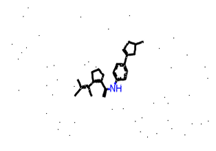 C=C(Nc1ccc(C2=CCC(C)C2)cc1)C1=C(C(C)=C(C)C)CCC1